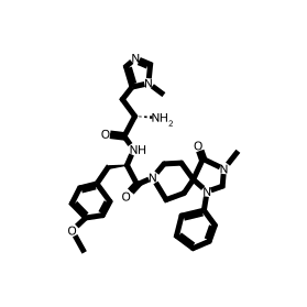 COc1ccc(C[C@@H](NC(=O)[C@@H](N)Cc2cncn2C)C(=O)N2CCC3(CC2)C(=O)N(C)CN3c2ccccc2)cc1